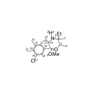 [2H]N1C(C)(CC)C(C)O[C@@](OC)(c2cc(C)c(C)c(Cl)c2)C1(C)C